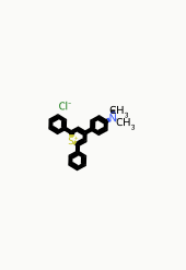 CN(C)c1ccc(-c2cc(-c3ccccc3)[s+]c(-c3ccccc3)c2)cc1.[Cl-]